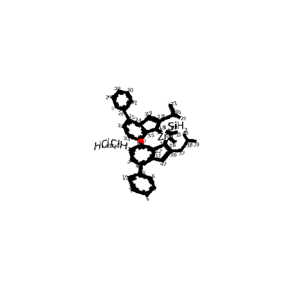 Cc1ccc(-c2ccccc2)c2c1[CH]([Zr]([CH3])([CH3])(=[SiH2])[CH]1C(C(C)C)=Cc3c(-c4ccccc4)cccc31)C(CC(C)C)=C2.Cl.Cl